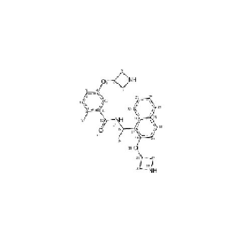 Cc1ccc(OC2CNC2)cc1C(=O)NC(C)c1c(OC2CNC2)ccc2ccccc12